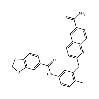 NC(=O)c1ccc2nc(Cc3cc(NC(=O)c4ccc5c(c4)OCC5)ccc3F)ccc2c1